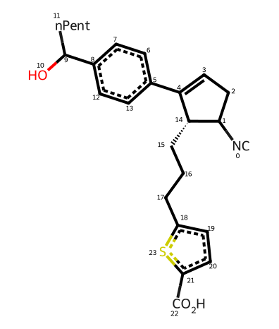 [C-]#[N+]C1CC=C(c2ccc(C(O)CCCCC)cc2)[C@H]1CCCc1ccc(C(=O)O)s1